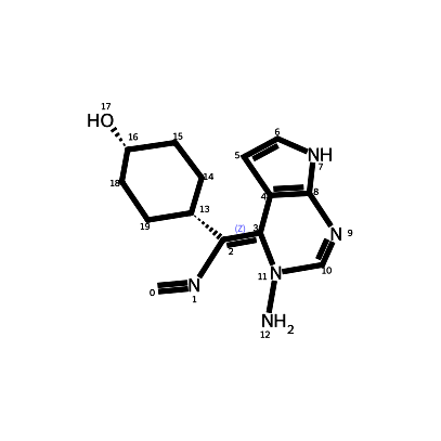 C=N/C(=C1/c2cc[nH]c2N=CN1N)[C@H]1CC[C@@H](O)CC1